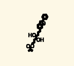 C=C(C)C(=O)OCCCC(O)C(O)CCCc1ccc2cc(-c3ccccc3)oc2c1